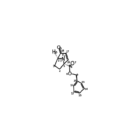 CN1[C@H]2CC[C@]1(C(=O)OCc1ccccc1)C=CC2=O